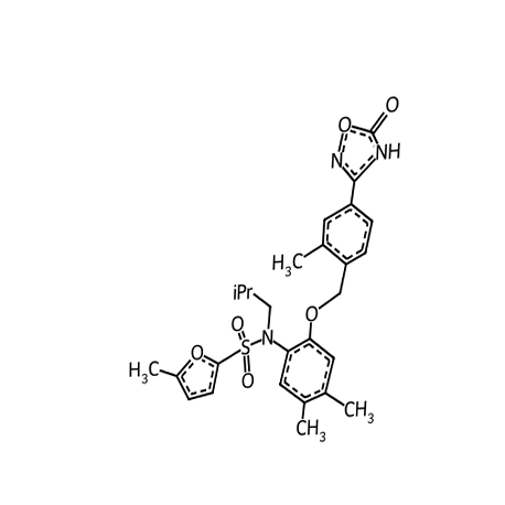 Cc1ccc(S(=O)(=O)N(CC(C)C)c2cc(C)c(C)cc2OCc2ccc(-c3noc(=O)[nH]3)cc2C)o1